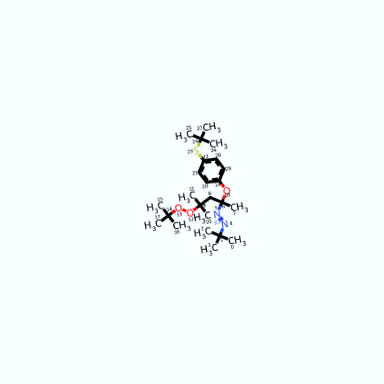 CC(C)(C)/N=N/C(C)(CC(C)(C)OOC(C)(C)C)Oc1ccc(SC(C)(C)C)cc1